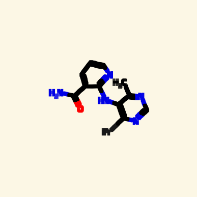 Cc1ncnc(C(C)C)c1Nc1ncccc1C(N)=O